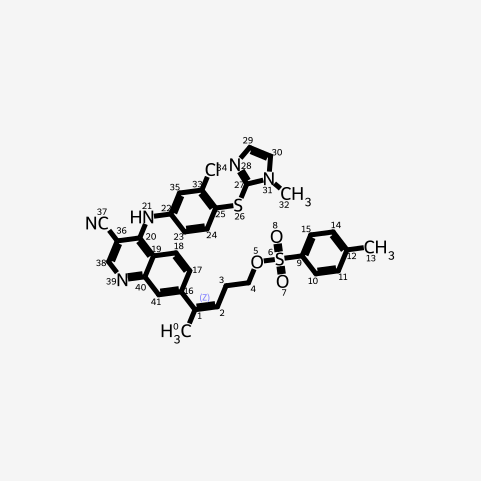 C/C(=C/CCOS(=O)(=O)c1ccc(C)cc1)c1ccc2c(Nc3ccc(Sc4nccn4C)c(Cl)c3)c(C#N)cnc2c1